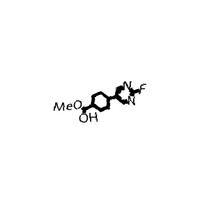 COC(O)C1CCC(c2cnc(F)nc2)CC1